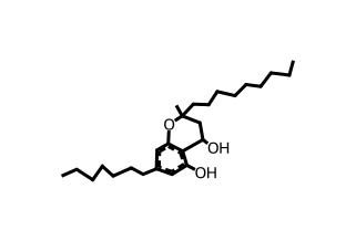 CCCCCCCCCC1(C)CC(O)c2c(O)cc(CCCCCCC)cc2O1